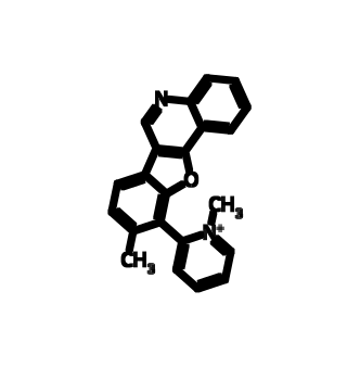 Cc1ccc2c(oc3c4ccccc4ncc23)c1-c1cccc[n+]1C